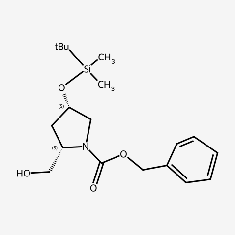 CC(C)(C)[Si](C)(C)O[C@H]1C[C@@H](CO)N(C(=O)OCc2ccccc2)C1